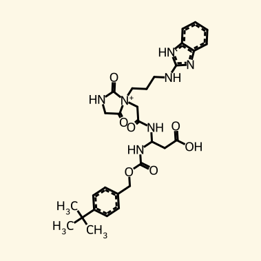 CC(C)(C)c1ccc(COC(=O)NC(CC(=O)O)NC(=O)C[N+]2(CCCNc3nc4ccccc4[nH]3)C(=O)CNC2=O)cc1